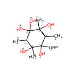 BC1(O)C(C)C(O)(OC)C(B)(O)C(C)C1(O)O